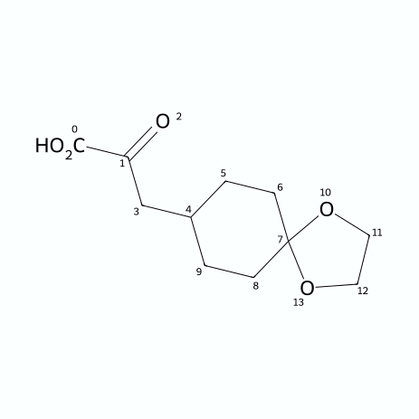 O=C(O)C(=O)CC1CCC2(CC1)OCCO2